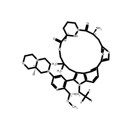 CO[C@@H](C)c1ncc(N2CCN3CCOC[C@@H]3C2)cc1-c1c2c3cc(ccc3n1CC(F)(F)F)-c1csc(n1)C[C@H](N)C(=O)N1CCC[C@H](N1)C(=O)OCC(C)(C)C2